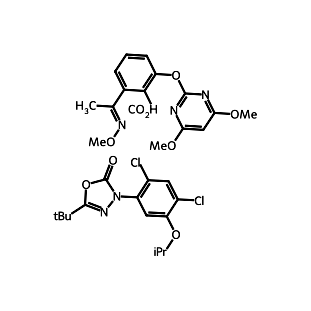 CC(C)Oc1cc(-n2nc(C(C)(C)C)oc2=O)c(Cl)cc1Cl.CON=C(C)c1cccc(Oc2nc(OC)cc(OC)n2)c1C(=O)O